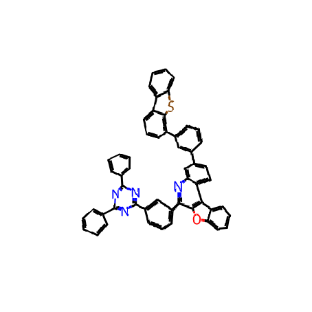 c1ccc(-c2nc(-c3ccccc3)nc(-c3cccc(-c4nc5cc(-c6cccc(-c7cccc8c7sc7ccccc78)c6)ccc5c5c4oc4ccccc45)c3)n2)cc1